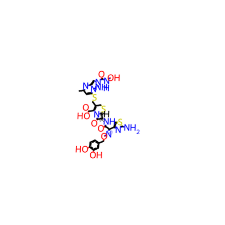 CC1=NC2=CN(C(=O)NO)NN2C(SCC2=C(C(=O)O)N3C(=O)[C@@H](NC(=O)/C(=N\OCc4ccc(O)c(O)c4)c4csc(N)n4)[C@H]3SC2)=C1